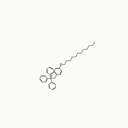 CCCCCCCCCCCCOc1ccc(C[PH](c2ccccc2)(c2ccccc2)c2ccccc2)cc1